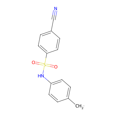 [CH2]c1ccc(NS(=O)(=O)c2ccc(C#N)cc2)cc1